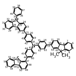 CC1(C)c2ccccc2-c2ccc(-c3ccc(N(c4ccc(-c5ccc6c(c5)c5ccccc5n6-c5ccccc5)cc4)c4ccc(-c5cccc6c5sc5ccccc56)cc4)cc3)cc21